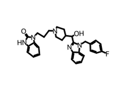 O=c1[nH]c2ccccc2n1CCCN1CCC(C(O)c2nc3ccccc3n2Cc2ccc(F)cc2)CC1